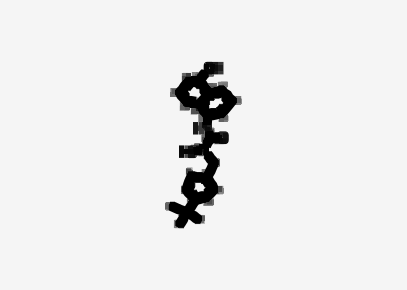 CC(C)(C)c1ccc(CN(S)C(=O)Nc2cccc3c(O)cccc23)cc1